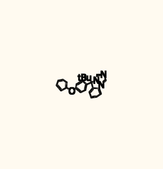 CC(C)(C)C(c1ccccc1)(c1ccc(Oc2ccccc2)cc1)n1cncn1